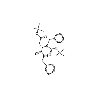 CC(C)(C)OC(=O)C[C@@H](C(=O)NCc1ccccc1)N(Cc1ccccc1)C(=O)OC(C)(C)C